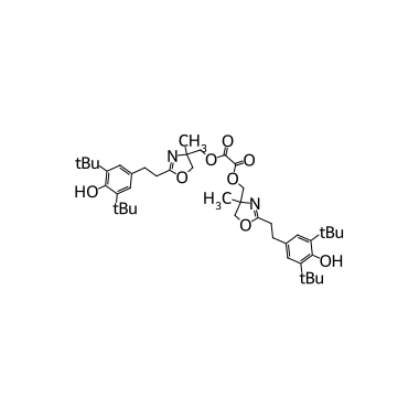 CC1(COC(=O)C(=O)OCC2(C)COC(CCc3cc(C(C)(C)C)c(O)c(C(C)(C)C)c3)=N2)COC(CCc2cc(C(C)(C)C)c(O)c(C(C)(C)C)c2)=N1